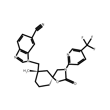 C[C@]1(Cn2cnc3ccc(C#N)cc32)CCC[C@@]2(CN(c3ccc(C(F)(F)F)cn3)C(=O)O2)C1